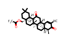 [C-]#[N+]C1=C[C@]2(C)[C@H]3CC(=O)[C@@H]4[C@@H]5CC(C)(C)CC[C@]5(COC(=O)C(F)(F)F)CC[C@@]4(C)[C@]3(C)CC[C@H]2[C@H](C)C1=O